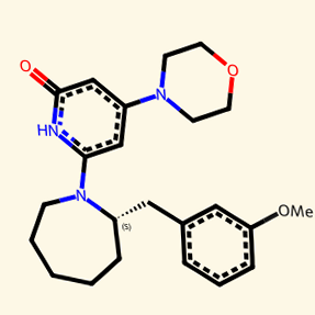 COc1cccc(C[C@@H]2CCCCCN2c2cc(N3CCOCC3)cc(=O)[nH]2)c1